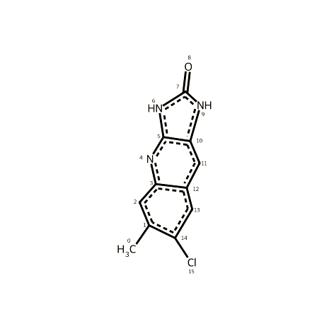 Cc1cc2nc3[nH]c(=O)[nH]c3cc2cc1Cl